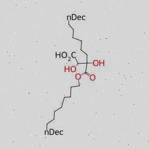 CCCCCCCCCCCCCCCCCCOC(=O)C(O)(CCCCCCCCCCCCCCCC)C(O)C(=O)O